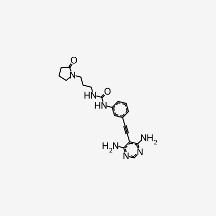 Nc1ncnc(N)c1C#Cc1cccc(NC(=O)NCCCN2CCCC2=O)c1